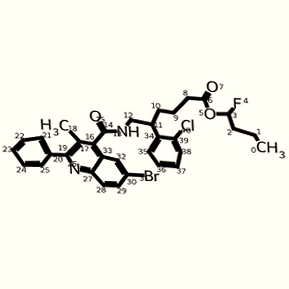 CCCC(F)OC(=O)CCCC(CNC(=O)c1c(C)c(-c2ccccc2)nc2ccc(Br)cc12)c1ccccc1Cl